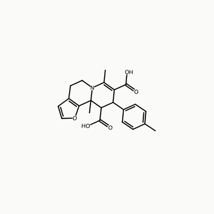 CC1=C(C(=O)O)C(c2ccc(C)cc2)C(C(=O)O)C2(C)c3occc3CCN12